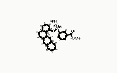 COC(=O)c1cccc(S(=O)(=O)Oc2cccc3ccc4cc5ccccc5cc4c23)c1.P